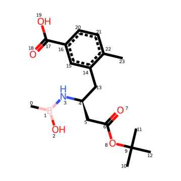 CB(O)N[C@H](CC(=O)OC(C)(C)C)Cc1cc(C(=O)O)ccc1C